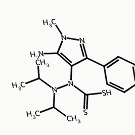 CC(C)N(C(C)C)N(C(=S)S)c1c(-c2ccccc2)nn(C)c1N